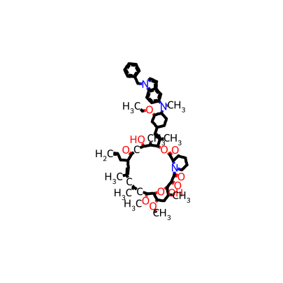 C=CCC1/C=C(\C)CC(C)CC(OC)C2OC(O)(C(=O)C(=O)N3CCCCC3C(=O)OC(C(C)=CC3CCC(N(C)c4ccc5c(ccn5Cc5ccccc5)c4)C(OCC)C3)C(C)C(O)CC1=O)C(C)CC2OC